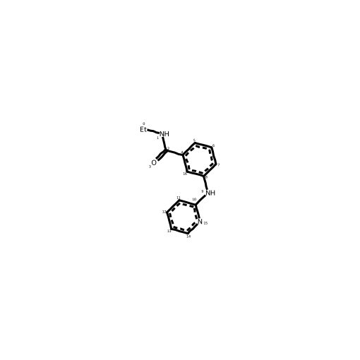 CCNC(=O)c1cccc(Nc2ccccn2)c1